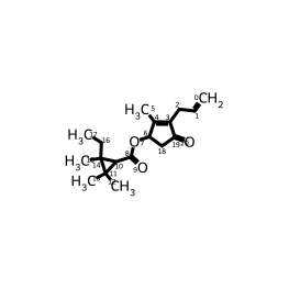 C=CCC1=C(C)C(OC(=O)C2C(C)(C)C2(C)CC)CC1=O